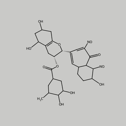 CC1CC(C(=O)O[C@@H]2CC3=C(CC(O)CC3O)O[C@@H]2C2=CC3CCC(O)C(N=O)C3C(=O)C(N=O)=C2)CC(O)C1O